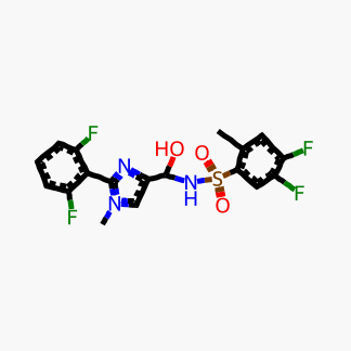 Cc1cc(F)c(F)cc1S(=O)(=O)NC(O)c1cn(C)c(-c2c(F)cccc2F)n1